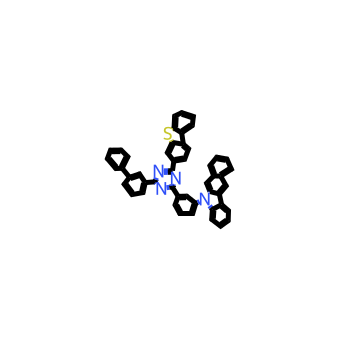 c1ccc(-c2cccc(-c3nc(-c4cccc(-n5c6ccccc6c6cc7ccccc7cc65)c4)nc(-c4ccc5c(c4)sc4ccccc45)n3)c2)cc1